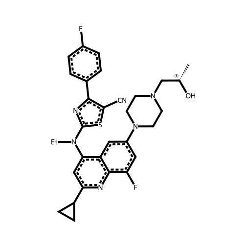 CCN(c1nc(-c2ccc(F)cc2)c(C#N)s1)c1cc(C2CC2)nc2c(F)cc(N3CCN(C[C@H](C)O)CC3)cc12